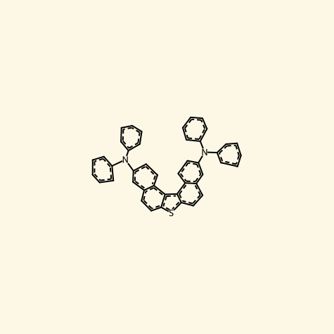 c1ccc(N(c2ccccc2)c2ccc3c(ccc4sc5ccc6cc(N(c7ccccc7)c7ccccc7)ccc6c5c43)c2)cc1